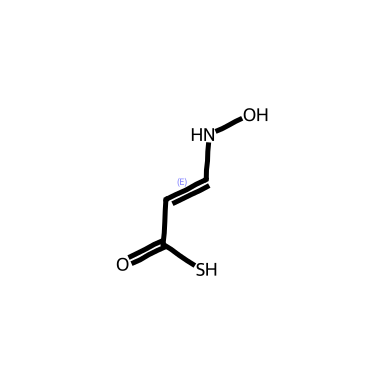 O=C(S)/C=C/NO